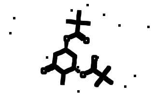 CC1C(=O)C[C@@H](OC(=O)C(C)(C)C)C[C@@H]1OC(=O)C(C)(C)C